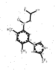 Cc1cc(C)c([S+]([O-])CC(F)F)cc1-n1cnc(C(F)(F)F)n1